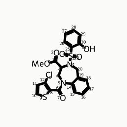 COC(=O)C1CN(C(=O)c2sccc2Cl)c2ccccc2CN1S(=O)(=O)c1ccccc1O